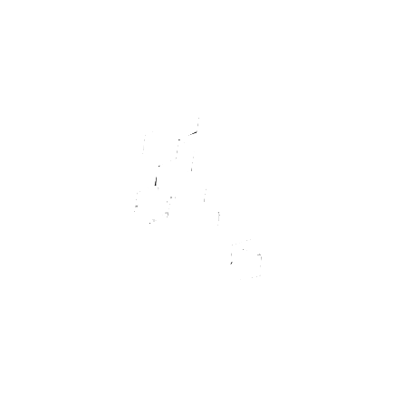 O=C(CCC1C[C@@]2(CF)CCC[C@@](c3ccccc3)(C1)C2)NC1CC2CNC1C2